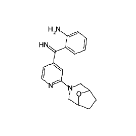 N=C(c1ccnc(N2CC3CCC(C2)O3)c1)c1ccccc1N